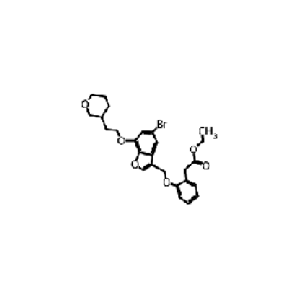 CCOC(=O)Cc1ccccc1OCc1coc2c(OCCC3CCCOC3)cc(Br)cc12